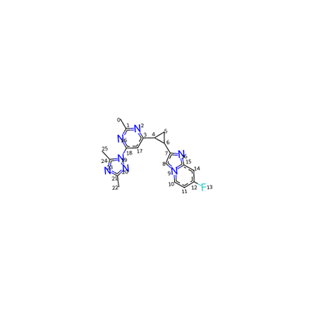 Cc1nc(C2CC2c2cn3ccc(F)cc3n2)cc(-n2nc(C)nc2C)n1